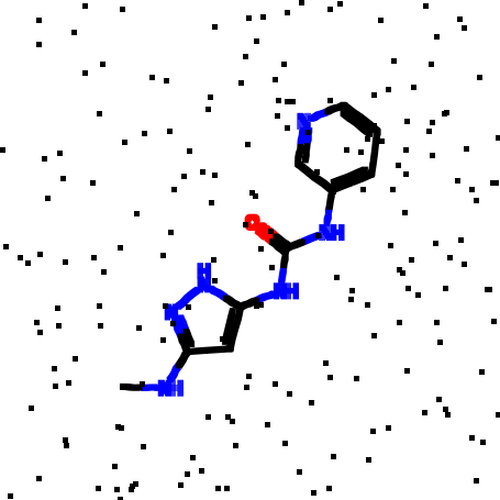 CNc1cc(NC(=O)Nc2cccnc2)[nH]n1